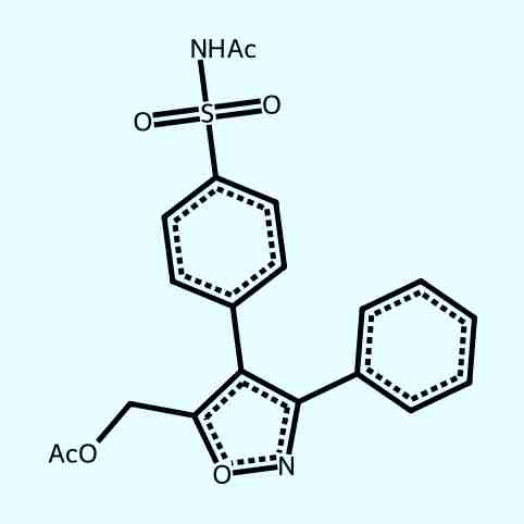 CC(=O)NS(=O)(=O)c1ccc(-c2c(-c3ccccc3)noc2COC(C)=O)cc1